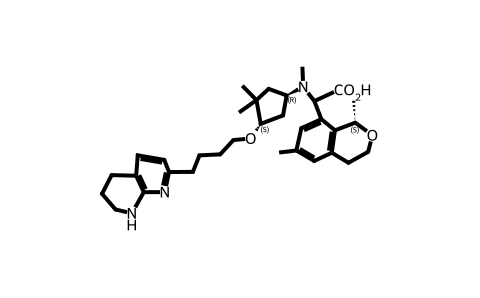 Cc1cc2c(c(C(C(=O)O)N(C)[C@H]3C[C@H](OCCCCc4ccc5c(n4)NCCC5)C(C)(C)C3)c1)[C@H](C)OCC2